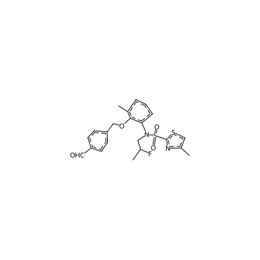 Cc1csc(S(=O)(=O)N(CC(C)F)c2cccc(C)c2OCc2ccc(C=O)cc2)n1